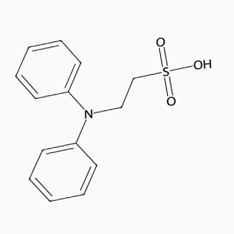 O=S(=O)(O)CCN(c1ccccc1)c1ccccc1